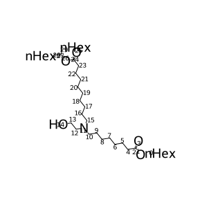 CCCCCCOC(=O)CCCCCCCN(CCO)CCCCCCCCCC(=O)OC(CCCCCC)CCCCCC